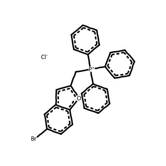 Brc1ccc2oc(C[P+](c3ccccc3)(c3ccccc3)c3ccccc3)cc2c1.[Cl-]